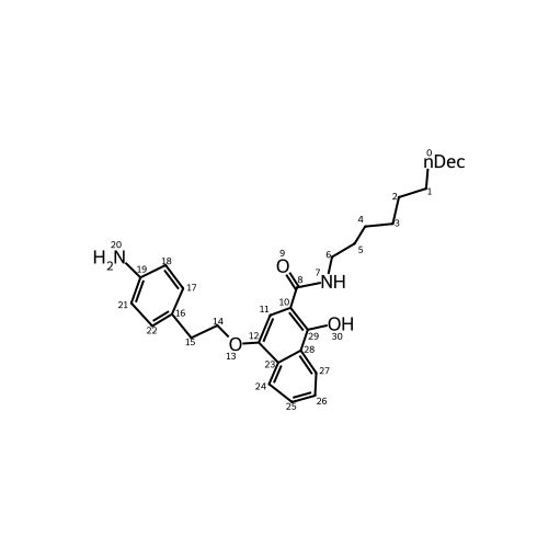 CCCCCCCCCCCCCCCCNC(=O)c1cc(OCCc2ccc(N)cc2)c2ccccc2c1O